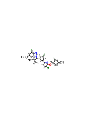 N#CCC1(Cn2c(Cc3ccc(-c4ccc(F)c(OCc5ccc(C#N)cc5F)n4)cc3F)nc3c(F)cc(C(=O)O)cc32)CC1